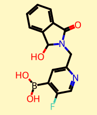 O=C1c2ccccc2C(O)N1Cc1cc(B(O)O)c(F)cn1